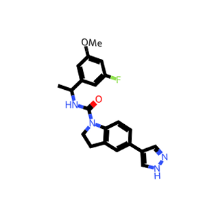 COc1cc(F)cc(C(C)NC(=O)N2CCc3cc(-c4cn[nH]c4)ccc32)c1